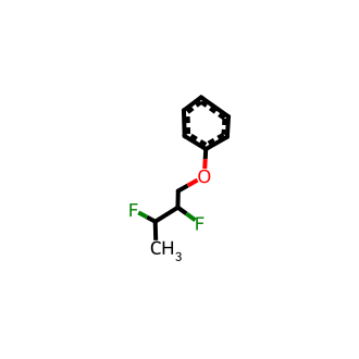 CC(F)C(F)COc1ccccc1